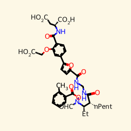 CCCCC[C@@H](C(=O)NCNC(=O)c1ccc(-c2ccc(C(=O)N[C@@H](CC(=O)O)C(=O)O)c(OCC(=O)O)c2)o1)[C@@H](CC)N(C=O)OC(=O)c1ccccc1C